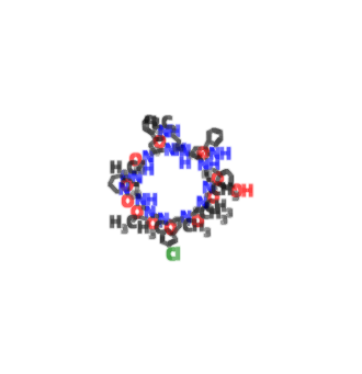 CCCC[C@@H]1NC(=O)[C@H](Cc2c[nH]c3ccccc23)NC(=O)[C@H](C)NC(=O)[C@@H](C(=O)N2CCCCC2)NC(=O)N(CCC)C(=O)N(C)C(=O)[C@H](Cc2cccc(Cl)c2)N(C)C(=O)[C@@H](C)N(C)C(=O)N(C)C(=O)[C@@H](Cc2ccc(O)cc2)NC(=O)[C@H](Cc2c[nH]c3ccccc23)N1